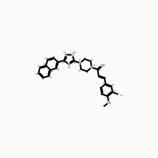 COc1ccc(/C=C/C(=O)N2CCN(c3nc(-c4ccc5ccccc5c4)no3)CC2)cc1F